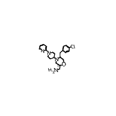 NC[C@H]1CN(C2CCN(c3ccccn3)CC2)C(Cc2ccc(Cl)cc2)CO1